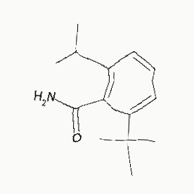 CC(C)c1cccc(C(C)(C)C)c1C(N)=O